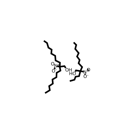 CCCCCCCCC(CO)(CCCC)[N+](=O)[O-].CCCCCCCCC(CO)(CCCCCCCC)[N+](=O)[O-]